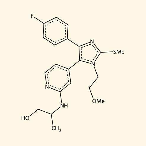 COCCn1c(SC)nc(-c2ccc(F)cc2)c1-c1ccnc(NC(C)CO)c1